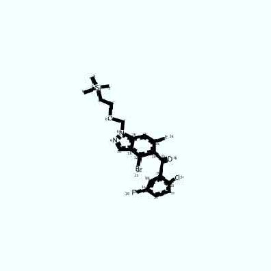 C[Si](C)(C)CCOCn1ncc2c(Br)c(C(=O)c3cc(F)ccc3Cl)c(F)cc21